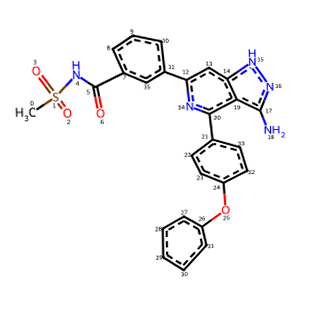 CS(=O)(=O)NC(=O)c1cccc(-c2cc3[nH]nc(N)c3c(-c3ccc(Oc4ccccc4)cc3)n2)c1